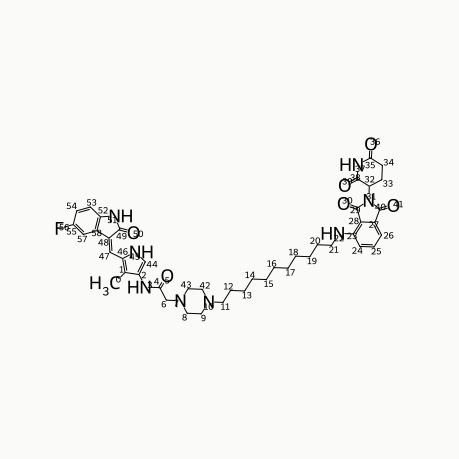 Cc1c(NC(=O)CN2CCN(CCCCCCCCCCCNc3cccc4c3C(=O)N(C3CCC(=O)NC3=O)C4=O)CC2)c[nH]c1/C=C1\C(=O)Nc2ccc(F)cc21